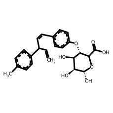 C=CC(/C=C\c1ccc(O[C@@H]2C(C(=O)O)O[C@H](O)[C@@H](O)C2O)cc1)c1ccc(C)cc1